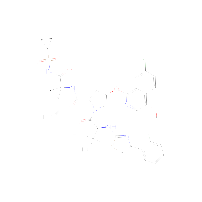 C=C[C@@H]1C[C@]1(NC(=O)[C@@H]1C[C@@H](Oc2ncc(OC)c3ccc(Cl)cc23)CN1C(=O)[C@@H](NC1=NC(c2ccccc2F)CS1)C(C)(C)C)C(=O)NS(=O)(=O)C1CC1